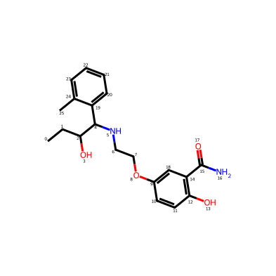 CCC(O)C(NCCOc1ccc(O)c(C(N)=O)c1)c1ccccc1C